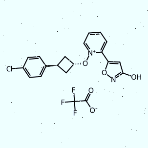 O=C([O-])C(F)(F)F.Oc1cc(-c2cccc[n+]2O[C@H]2C[C@H](c3ccc(Cl)cc3)C2)on1